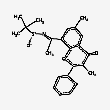 C/C(=N\[S@+]([O-])C(C)(C)C)c1cc(C)cc2c(=O)c(C)c(-c3ccccc3)oc12